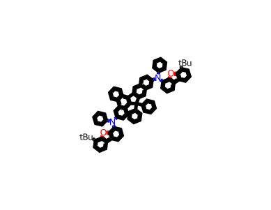 CC(C)(C)c1cccc2c1oc1c(N(c3ccccc3)c3ccc4cc5c(cc4c3)C(c3ccccc3)(c3ccccc3)c3c-5c4ccccc4c4cc(N(c5ccccc5)c5cccc6c5oc5c(C(C)(C)C)cccc56)ccc34)cccc12